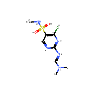 CN(C)C=Nc1ncc(S(=O)(=O)NC(C)(C)C)c(Cl)n1